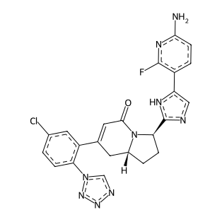 Nc1ccc(-c2cnc([C@H]3CC[C@@H]4CC(c5cc(Cl)ccc5-n5cnnn5)=CC(=O)N43)[nH]2)c(F)n1